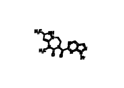 CC1C=C2N(CCN(C(=O)c3ncc4cnn(C(C)C)c4n3)C(=O)N2C)N1